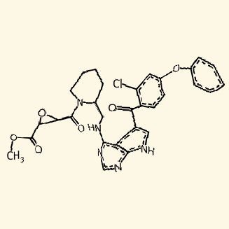 COC(=O)C1OC1C(=O)N1CCCCC1CNc1ncnc2[nH]cc(C(=O)c3ccc(Oc4ccccc4)cc3Cl)c12